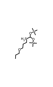 CCCOCCC[SiH2]C(O[Si](C)(C)C)O[Si](C)(C)C